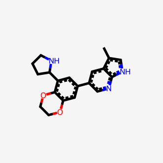 Cc1c[nH]c2ncc(-c3cc4c(c(C5CCCN5)c3)OCCO4)cc12